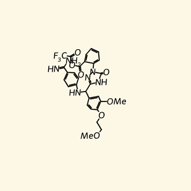 COCCOc1ccc(C(Nc2ccc(C(=N)N)cc2)c2nn(-c3ccccc3C(=O)OC(=O)C(F)(F)F)c(=O)[nH]2)cc1OC